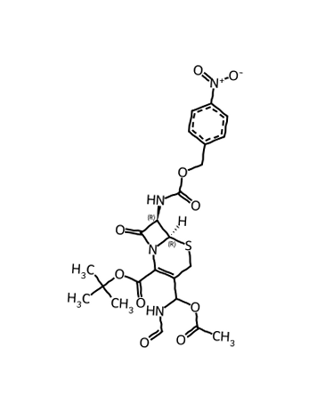 CC(=O)OC(NC=O)C1=C(C(=O)OC(C)(C)C)N2C(=O)[C@@H](NC(=O)OCc3ccc([N+](=O)[O-])cc3)[C@H]2SC1